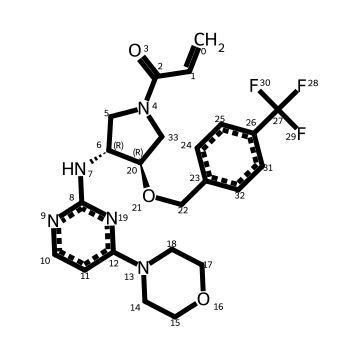 C=CC(=O)N1C[C@@H](Nc2nccc(N3CCOCC3)n2)[C@H](OCc2ccc(C(F)(F)F)cc2)C1